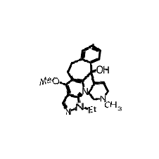 CCn1ncc2c(OC)c3c(nc21)C(O)(C1CCN(C)CC1)c1ccccc1CC3